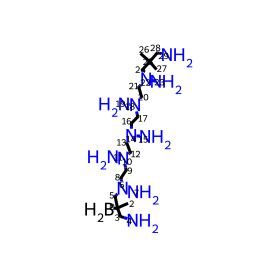 BC(C)(CN)CN(N)CCN(N)CCN(N)CCN(N)CCN(N)CC(C)(C)CN